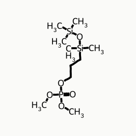 COP(=O)(OC)OCCC[Si](C)(C)O[Si](C)(C)C